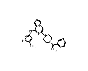 C=C(c1cccnc1)N1CCN(c2nc(Nc3cc(C)[nH]n3)c3cccn3n2)CC1